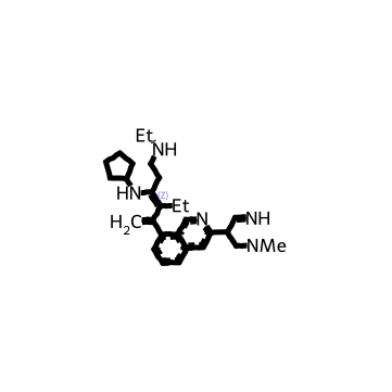 C=C(/C(CC)=C(/CCNCC)NC1CCCC1)c1cccc2cc(C(C=N)CNC)ncc12